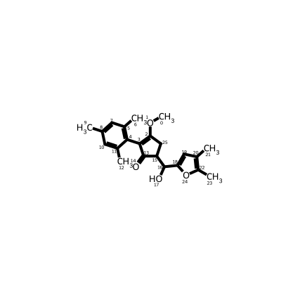 COC1=C(c2c(C)cc(C)cc2C)C(=O)C(C(O)c2cc(C)c(C)o2)C1